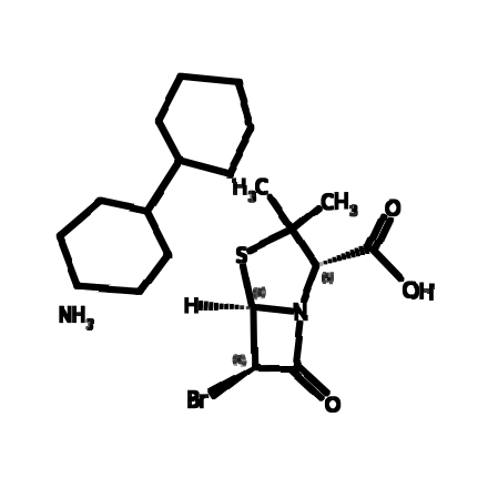 C1CCC(C2CCCCC2)CC1.CC1(C)S[C@@H]2[C@H](Br)C(=O)N2[C@H]1C(=O)O.N